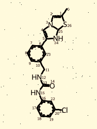 CC1=CN2C=C(c3cccc(CNC(=O)Nc4cccc(Cl)c4)c3)NC2S1